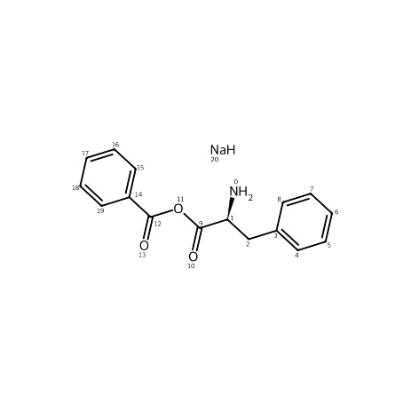 N[C@@H](Cc1ccccc1)C(=O)OC(=O)c1ccccc1.[NaH]